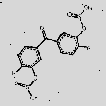 O=C(c1ccc(F)c(OS(=O)O)c1)c1ccc(F)c(OS(=O)O)c1